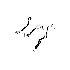 CCO.CO.COC=O